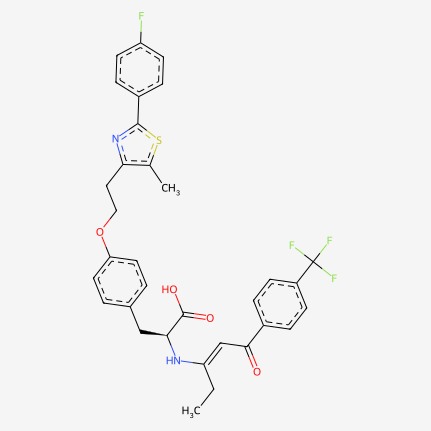 CC/C(=C\C(=O)c1ccc(C(F)(F)F)cc1)N[C@@H](Cc1ccc(OCCc2nc(-c3ccc(F)cc3)sc2C)cc1)C(=O)O